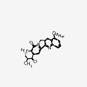 COc1cccc2nc3c(cc12)Cn1c-3cc(C(=O)C(C)I)c(C)c1=O